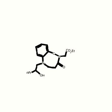 CCCC(O)CN1CCC(=O)N(CC(=O)OCC)Cc2ccccc21